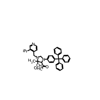 CC(C)c1cnccc1CN1CN(c2ccc(C(c3ccccc3)(c3ccccc3)c3ccccc3)cc2)C(C(=O)C=O)C1(C)C